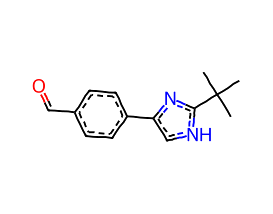 CC(C)(C)c1nc(-c2ccc(C=O)cc2)c[nH]1